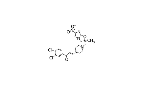 C[C@]1(CN2CCN(C=CC(=O)c3ccc(Cl)c(Cl)c3)CC2)Cn2cc([N+](=O)[O-])nc2O1